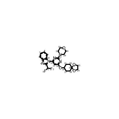 FC(F)c1nc2ccccc2n1-c1cc(OC2CCC3(CC2)OCCO3)nc(N2CCOCC2)n1